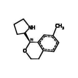 Cc1ccc2c(c1)[C@H](C1CCCN1)OCC2